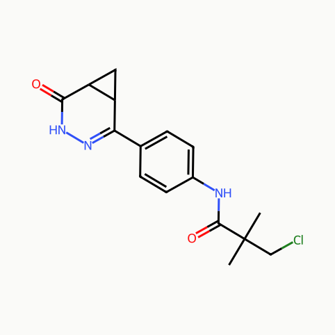 CC(C)(CCl)C(=O)Nc1ccc(C2=NNC(=O)C3CC23)cc1